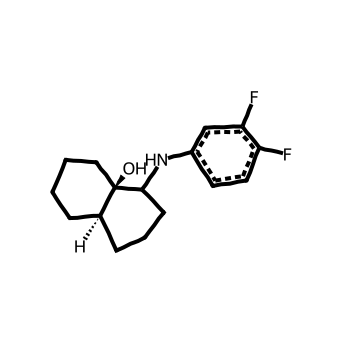 O[C@]12CCCC[C@@H]1CCCC2Nc1ccc(F)c(F)c1